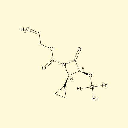 C=CCOC(=O)N1C(=O)[C@@H](O[Si](CC)(CC)CC)[C@H]1C1CC1